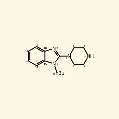 CCCCn1c(N2CCNCC2)nc2ccccc21